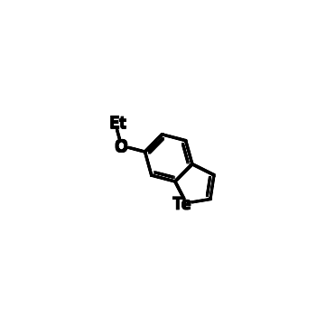 CCOc1ccc2cc[te]c2c1